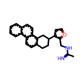 CC(=N)NCc1occc1C1CCc2ccc3c(ccc4ccccc43)c2C1